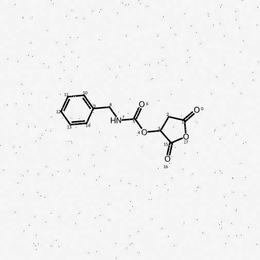 O=C1CC(OC(=O)NCc2ccccc2)C(=O)O1